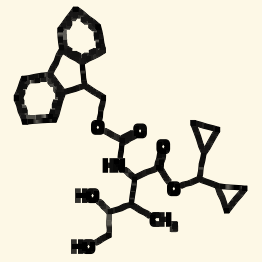 CC(C(O)CO)C(NC(=O)OCC1c2ccccc2-c2ccccc21)C(=O)OC(C1CC1)C1CC1